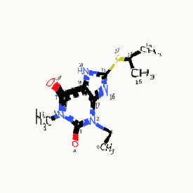 CCn1c(=O)n(C)c(=O)c2[nH]c(SC(C)C)nc21